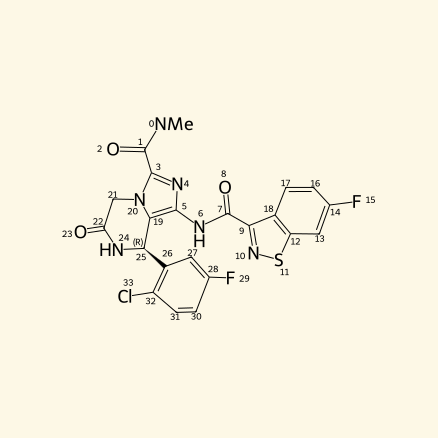 CNC(=O)c1nc(NC(=O)c2nsc3cc(F)ccc23)c2n1CC(=O)N[C@@H]2c1cc(F)ccc1Cl